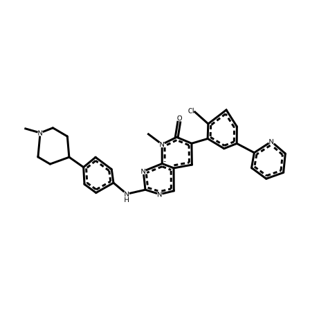 CN1CCC(c2ccc(Nc3ncc4cc(-c5cc(-c6ccccn6)ccc5Cl)c(=O)n(C)c4n3)cc2)CC1